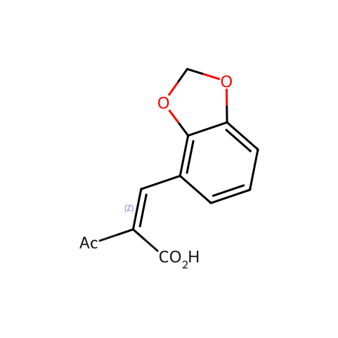 CC(=O)/C(=C/c1cccc2c1OCO2)C(=O)O